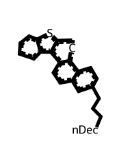 CCCCCCCCCCCCCc1ccc2c(ccc3c2ccc2sc4ccccc4c23)c1